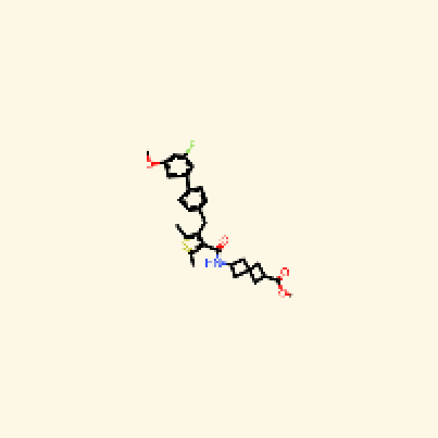 COC(=O)C1CC2(CC(NC(=O)c3c(C)sc(C)c3Cc3ccc(-c4cc(F)cc(OC)c4)cc3)C2)C1